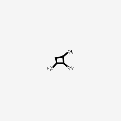 [CH2]C1C(C)CC1C